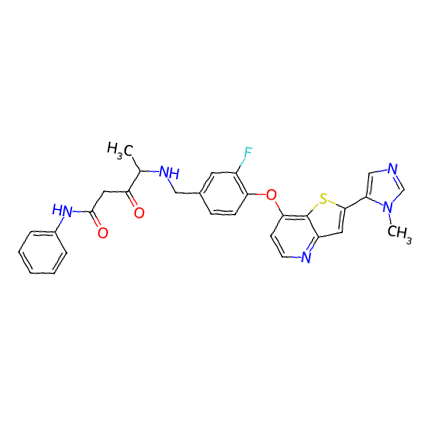 CC(NCc1ccc(Oc2ccnc3cc(-c4cncn4C)sc23)c(F)c1)C(=O)CC(=O)Nc1ccccc1